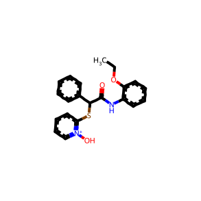 CCOc1ccccc1NC(=O)C(Sc1cccc[n+]1O)c1ccccc1